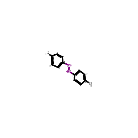 CCc1ccc(PPc2ccc(CC)cc2)cc1